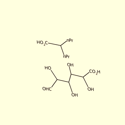 CCCC(CCC)C(=O)O.O=CC(O)C(O)C(O)C(O)C(=O)O